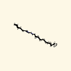 CCCCC/C=C/C=C/CCCCCCCC[C]=O